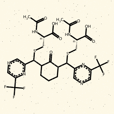 CC(=O)N[C@@H](CSC(c1cncc(C(F)(F)F)n1)C1CCCC(C(SC[C@H](NC(C)=O)C(=O)O)c2cncc(C(F)(F)F)n2)C1=O)C(=O)O